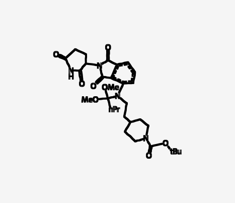 CCCC(OC)(OC)N(CCC1CCN(C(=O)OC(C)(C)C)CC1)c1cccc2c1C(=O)N(C1CCC(=O)NC1=O)C2=O